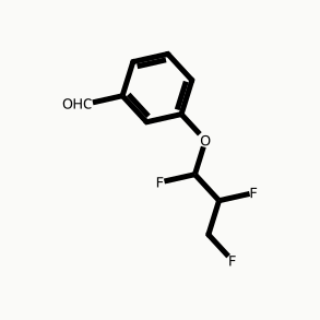 O=Cc1cccc(OC(F)C(F)CF)c1